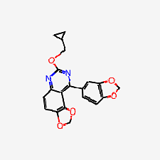 c1cc2c(cc1-c1nc(OCC3CC3)nc3ccc4c(c13)OCO4)OCO2